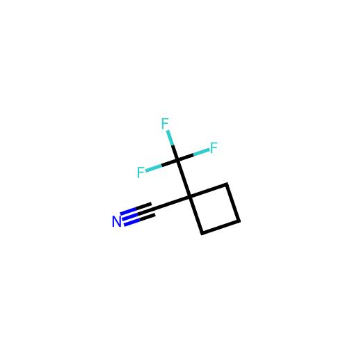 N#CC1(C(F)(F)F)CCC1